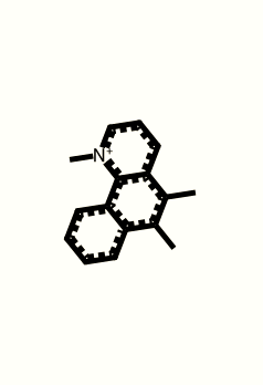 Cc1c(C)c2ccc[n+](C)c2c2ccccc12